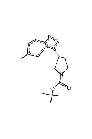 CC(C)(C)OC(=O)N1CC[C@@H](c2nnc3ccc(F)cn23)C1